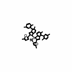 Cc1ccc(C)c(-c2c(C)ccc3c2C=C(c2ccc(C)o2)[CH]3[Zr]([CH]2C(c3ccc(C)o3)=Cc3c2ccc(C)c3-c2cc(C)ccc2C)=[Si](C)C)c1